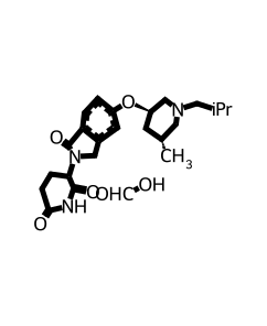 CC(C)CN1C[C@H](C)C[C@@H](Oc2ccc3c(c2)CN(C2CCC(=O)NC2=O)C3=O)C1.O=CO